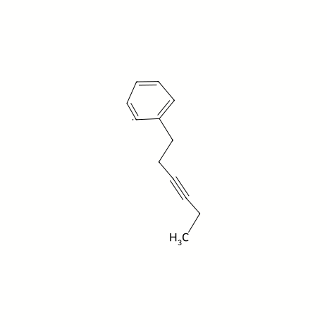 CCC#CCCc1[c]cccc1